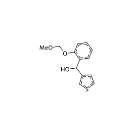 COCOc1ccccc1C(O)c1ccsc1